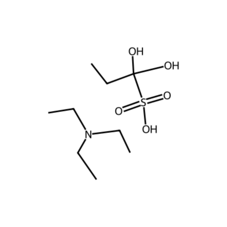 CCC(O)(O)S(=O)(=O)O.CCN(CC)CC